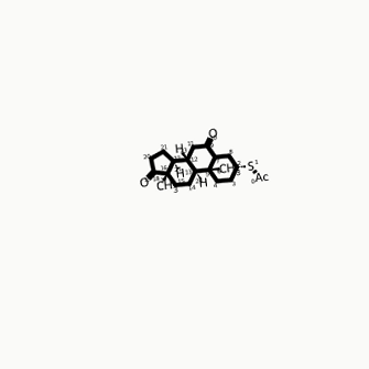 CC(=O)S[C@@H]1CC[C@@]2(C)C(C1)C(=O)C[C@@H]1[C@@H]2CC[C@]2(C)C(=O)CC[C@@H]12